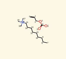 C=CCOC(=O)[O-].CCCCCCCCC[N+](C)(C)C